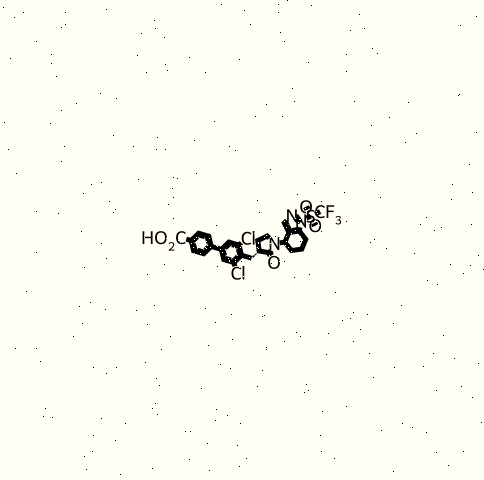 O=C(O)c1ccc(-c2cc(Cl)c(C[C@@H]3CCN(C4CCCc5c4cnn5S(=O)(=O)C(F)(F)F)C3=O)c(Cl)c2)cc1